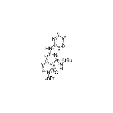 CCCn1ccc2cc(Nc3cnccn3)nc(NC(C)(C)C)c2c1=O